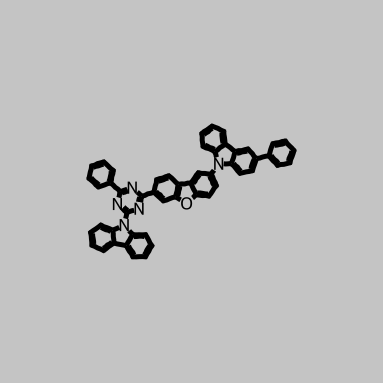 c1ccc(-c2ccc3c(c2)c2ccccc2n3-c2ccc3oc4cc(-c5nc(-c6ccccc6)nc(-n6c7ccccc7c7ccccc76)n5)ccc4c3c2)cc1